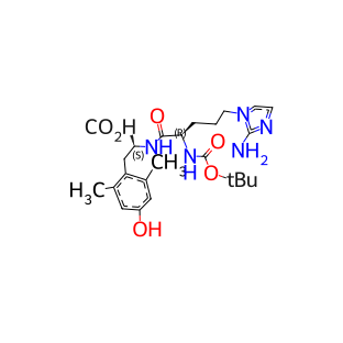 Cc1cc(O)cc(C)c1C[C@H](NC(=O)[C@@H](CCCn1ccnc1N)NC(=O)OC(C)(C)C)C(=O)O